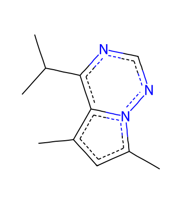 Cc1cc(C)n2ncnc(C(C)C)c12